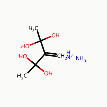 C=C(C(C)(O)O)C(C)(O)O.N.N